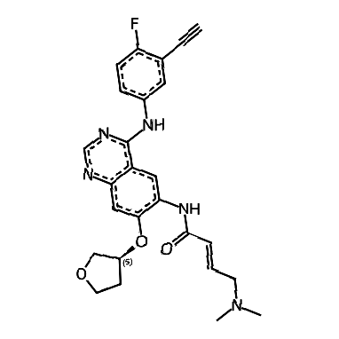 C#Cc1cc(Nc2ncnc3cc(O[C@H]4CCOC4)c(NC(=O)C=CCN(C)C)cc23)ccc1F